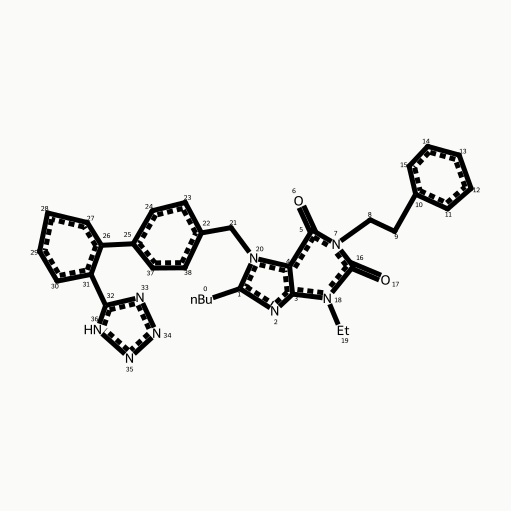 CCCCc1nc2c(c(=O)n(CCc3ccccc3)c(=O)n2CC)n1Cc1ccc(-c2ccccc2-c2nnn[nH]2)cc1